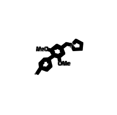 [CH2]c1ccc(-c2c(OC)cc(CN3CCCC3)cc2OC)cc1